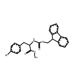 CC(C)(C)OC(=O)C(Cc1ccc(Br)cc1)NC(=O)OCC1c2ccccc2-c2ccccc21